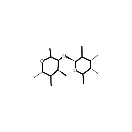 CC1O[C@@H](O[C@@H]2C(C)O[C@@H](C)C(C)[C@@H]2C)C(C)[C@H](C)[C@@H]1C